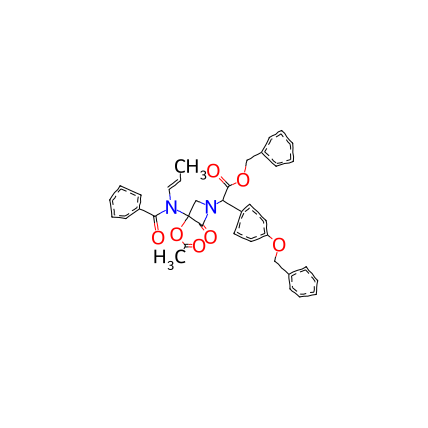 CC=CN(C(=O)c1ccccc1)C1(OC(C)=O)CN(C(C(=O)OCc2ccccc2)c2ccc(OCc3ccccc3)cc2)C1=O